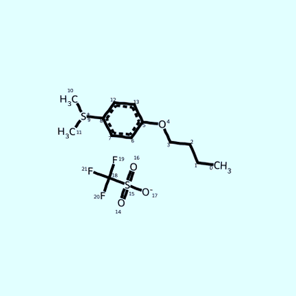 CCCCOc1ccc([S+](C)C)cc1.O=S(=O)([O-])C(F)(F)F